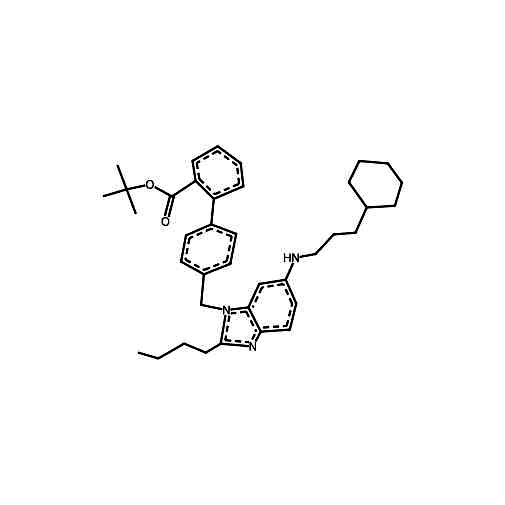 CCCCc1nc2ccc(NCCCC3CCCCC3)cc2n1Cc1ccc(-c2ccccc2C(=O)OC(C)(C)C)cc1